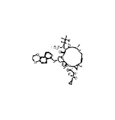 CC[C@@H]1C[C@@H](C)CC/C=C\[C@@H]2C[C@@]2(C(=O)NS(=O)(=O)C2CC2)NC(=O)[C@@H]2C[C@@H](Oc3nccc4c5c(ccc34)OCCO5)CN2C(=O)[C@H]1N(C(=O)O)C(C)(C)C(C)(F)F